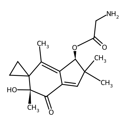 CC1=C2C(=CC(C)(C)[C@@H]2OC(=O)CN)C(=O)[C@](C)(O)C12CC2